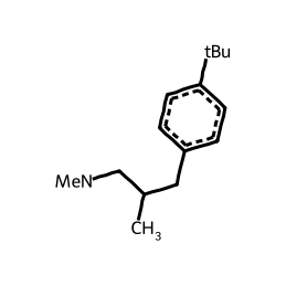 CNCC(C)Cc1ccc(C(C)(C)C)cc1